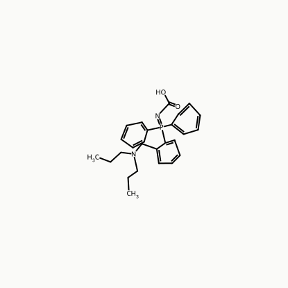 CCCN(CCC)Cc1ccccc1P(=NC(=O)O)(c1ccccc1)c1ccccc1